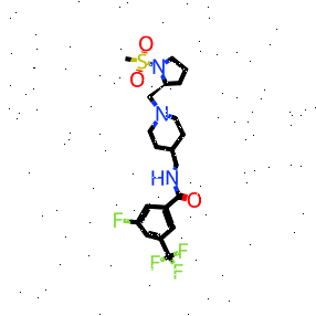 CS(=O)(=O)N1CCC[C@H]1CN1CCC(CNC(=O)c2cc(F)cc(C(F)(F)F)c2)CC1